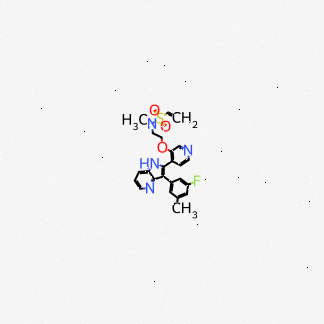 C=CS(=O)(=O)N(C)CCOc1cnccc1-c1[nH]c2cccnc2c1-c1cc(C)cc(F)c1